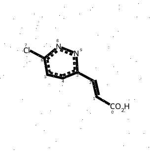 O=C(O)C=Cc1ccc(Cl)nn1